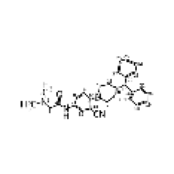 CN(C)CC(=O)Nc1ccc(N2CCN(C(c3ccccc3)c3ccccc3)CC2)c(C#N)c1